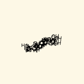 CC(=O)OC(C1C[C@@H](C)[C@H]2C(O1)C(=O)[C@@]1(C)C3CC[C@H]4C(C)(C)C(O[C@@H]5OC[C@@H](O)C(O)[C@H]5O)CCC45CC35CCC21C)C(C)(C)O